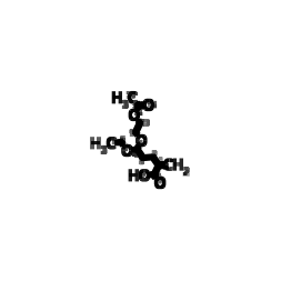 C=C(CCC(OCC)OCCOC(C)=O)C(=O)O